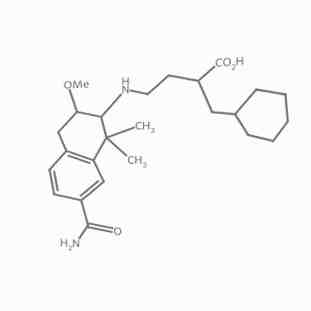 COC1Cc2ccc(C(N)=O)cc2C(C)(C)C1NCCC(CC1CCCCC1)C(=O)O